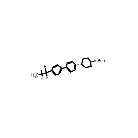 CCCCC[C@H]1CC[C@H](c2ccc(-c3ccc(C(F)(F)C(C)(F)F)cc3)cc2)CC1